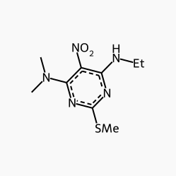 CCNc1nc(SC)nc(N(C)C)c1[N+](=O)[O-]